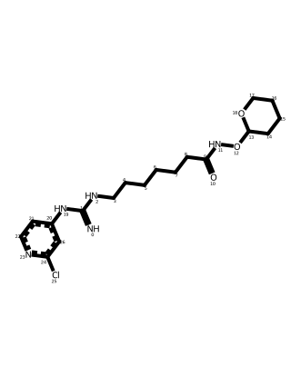 N=C(NCCCCCCC(=O)NOC1CCCCO1)Nc1ccnc(Cl)c1